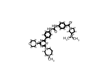 CN1CCCN(c2nc(-c3ccc(NC(=O)Nc4ccc(C(=O)N5CCC(N(C)C)C5)cc4)cc3)nc(N3CCOCC3)n2)CC1